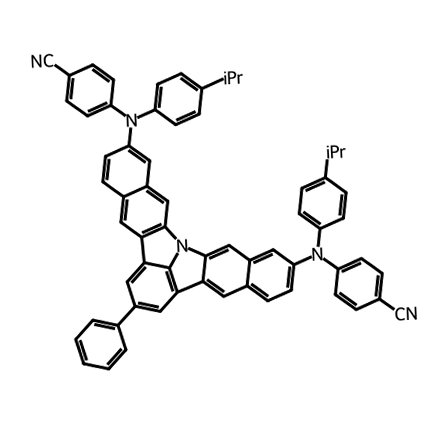 CC(C)c1ccc(N(c2ccc(C#N)cc2)c2ccc3cc4c5cc(-c6ccccc6)cc6c7cc8ccc(N(c9ccc(C#N)cc9)c9ccc(C(C)C)cc9)cc8cc7n(c4cc3c2)c56)cc1